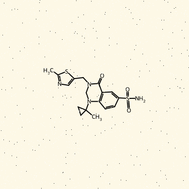 Cc1ncc(CN2CN(C3(C)CC3)c3ccc(S(N)(=O)=O)cc3C2=O)s1